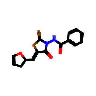 O=C(NN1C(=O)/C(=C/C2CC=CO2)SC1=S)c1ccccc1